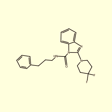 O=C(NCCCc1ccccc1)n1c(N2CCC(F)(F)CC2)nc2ccccc21